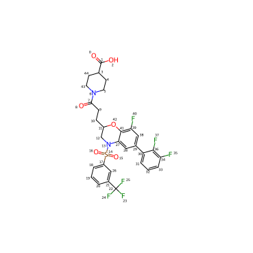 O=C(O)C1CCN(C(=O)CCC2CN(S(=O)(=O)c3cccc(C(F)(F)F)c3)c3cc(-c4cccc(F)c4F)cc(F)c3O2)CC1